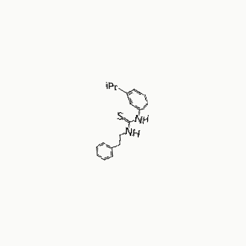 CC(C)c1cccc(NC(=S)NCCc2ccccc2)c1